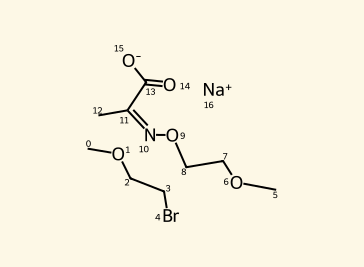 COCCBr.COCCON=C(C)C(=O)[O-].[Na+]